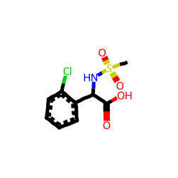 CS(=O)(=O)NC(C(=O)O)c1ccccc1Cl